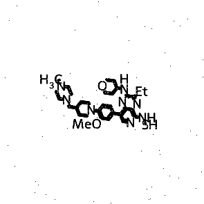 CCc1nc2c(NS)ncc(-c3ccc(N4CCC(CN5CCN(C)CC5)CC4)c(OC)c3)c2nc1NC1CCOCC1